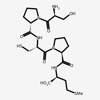 CSCC[C@H](NC(=O)[C@@H]1CCCN1C(=O)[C@H](CS)NC(=O)[C@@H]1CCCN1C(=O)[C@@H](N)CO)C(=O)O